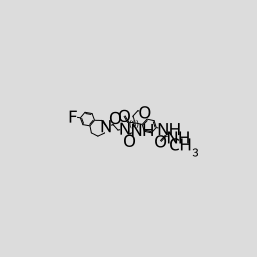 CNC(=O)Nc1ccc2c(c1)OCC[C@]21NC(=O)N(CC(=O)N2CCCc3cc(F)ccc3C2)C1=O